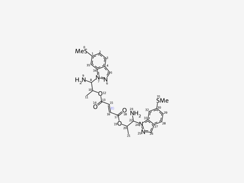 CSc1ccc2cnn(C(N)C(C)OC(=O)/C=C/C(=O)OC(C)C(N)n3ncc4ccc(SC)cc43)c2c1